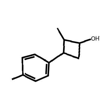 Cc1ccc(C2CC(O)C2C)cc1